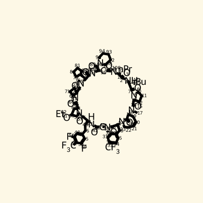 CCCC1C(=O)NC([C@@H](C)CC)C(=O)N2CCCC2C(=O)N(C)C2CC=CCCN(C2=O)C(Cc2ccc(C(F)(F)F)cc2)C(=O)N(C)CC(=O)NC(CCc2cc(F)c(C(F)(F)F)c(F)c2)C(=O)N2CC(OCC)CC2C(=O)N(C)C2(CCC2)C(=O)N(C)C(C2CCCC2)C(=O)N(C)C(C(=O)N2CCCCC2)CC(=O)N1C